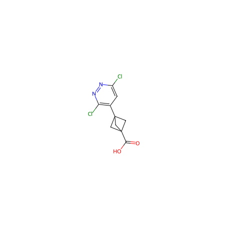 O=C(O)C12CC(c3cc(Cl)nnc3Cl)(C1)C2